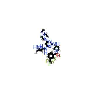 CCN1CCN(c2cc(Nc3cc(C)[nH]n3)nc(N[C@H]3CCN(C(=O)c4cccc(C(F)(F)F)c4F)C3)n2)CC1